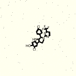 Oc1cc2[nH]c3c(c2cc1Cl)CCN(c1nccc(C(F)(F)F)n1)C3c1ccc(Cl)cc1